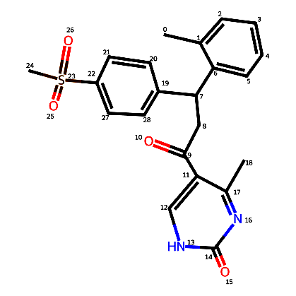 Cc1ccccc1C(CC(=O)c1c[nH]c(=O)nc1C)c1ccc(S(C)(=O)=O)cc1